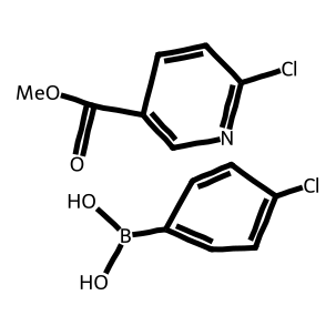 COC(=O)c1ccc(Cl)nc1.OB(O)c1ccc(Cl)cc1